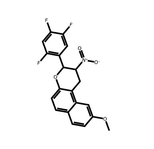 COc1ccc2ccc3c(c2c1)CC([N+](=O)[O-])C(c1cc(F)c(F)cc1F)O3